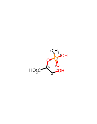 CP(=O)(O)OC(CO)C(=O)O